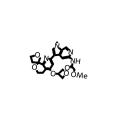 COCC(=O)Nc1cc2c(-c3cc(OC4COC4)c4c(n3)C3(CCOC3)OCC4)cn(C)c2cn1